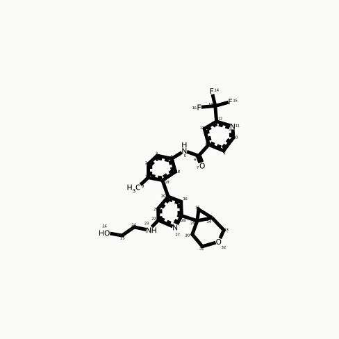 Cc1ccc(NC(=O)c2ccnc(C(F)(F)F)c2)cc1-c1cc(NCCO)nc(C23CCOCC2C3)c1